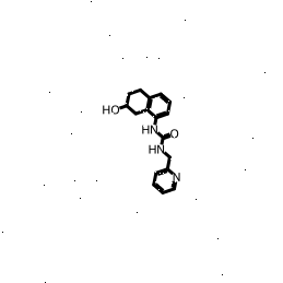 O=C(NCc1ccccn1)Nc1cccc2c1CC(O)CC2